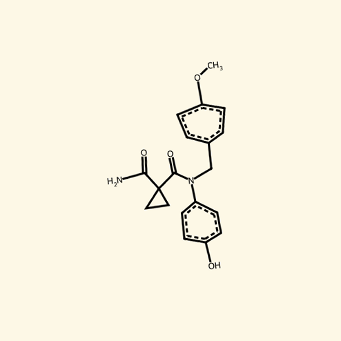 COc1ccc(CN(C(=O)C2(C(N)=O)CC2)c2ccc(O)cc2)cc1